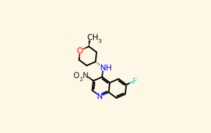 C[C@H]1C[C@H](Nc2c([N+](=O)[O-])cnc3ccc(F)cc23)CCO1